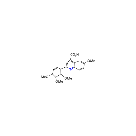 COc1ccc2nc(-c3ccc(OC)c(OC)c3OC)cc(C(=O)O)c2c1